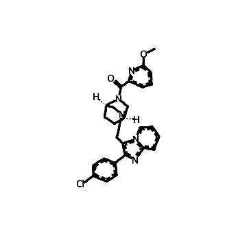 COc1cccc(C(=O)N2C[C@H]3CC[C@@H]2CN3Cc2c(-c3ccc(Cl)cc3)nc3ccccn23)n1